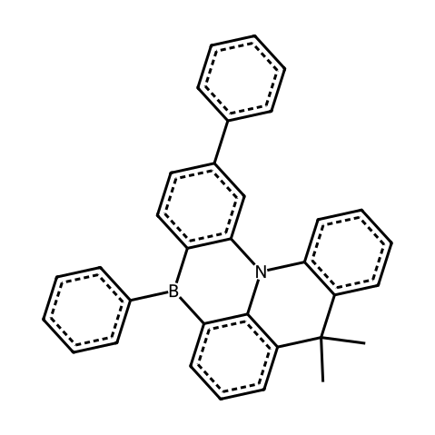 CC1(C)c2ccccc2N2c3cc(-c4ccccc4)ccc3B(c3ccccc3)c3cccc1c32